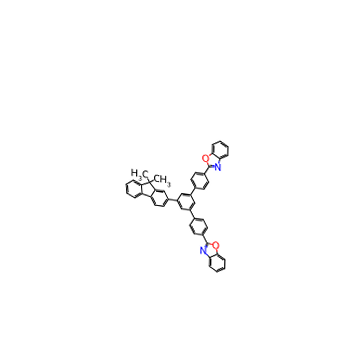 CC1(C)c2ccccc2-c2ccc(-c3cc(-c4ccc(-c5nc6ccccc6o5)cc4)cc(-c4ccc(-c5nc6ccccc6o5)cc4)c3)cc21